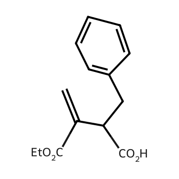 C=C(C(=O)OCC)C(Cc1ccccc1)C(=O)O